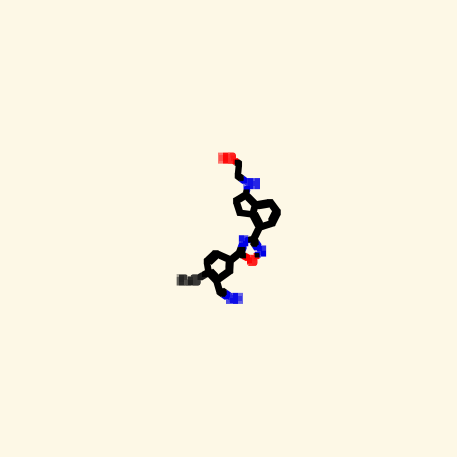 CC(C)COc1ccc(-c2nc(-c3cccc4c3CCC4NCCO)no2)cc1C=N